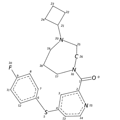 O=C(c1cc(Sc2ccc(F)cc2)ccn1)N1CCCN(C2CCC2)CC1